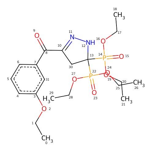 CCOc1cccc(C(=O)C2=NNC(P(=O)(OCC)OCC)(P(=O)(OCC)OCC)C2)c1